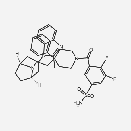 Cc1nc2ccccc2n1C1C[C@H]2CC[C@@H](C1)N2CCC1(c2ccccc2)CCN(C(=O)c2cc(S(N)(=O)=O)cc(F)c2F)CC1